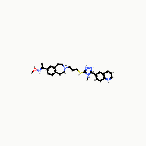 CO/N=C(\C)c1ccc2c(c1)CCN(CCCSc1nnc(-c3ccc4ncccc4c3)n1C)CC2